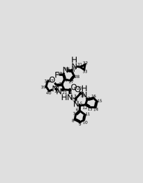 O=C(N[C@H]1N=C(c2ccccc2)c2ccccc2NC1=O)c1nn2c(c1-c1ccc(NC3CC3)nc1F)OCCC2